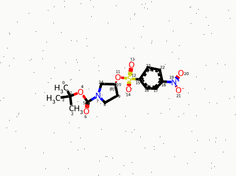 CC(C)(C)OC(=O)N1CC[C@@H](OS(=O)(=O)c2ccc([N+](=O)[O-])cc2)C1